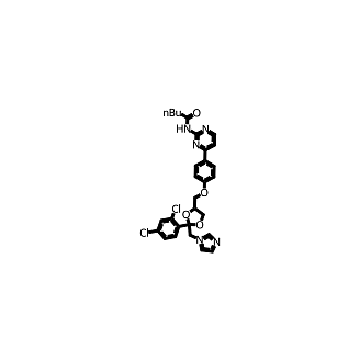 CCCCC(=O)Nc1nccc(-c2ccc(OCC3COC(Cn4ccnc4)(c4ccc(Cl)cc4Cl)O3)cc2)n1